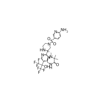 CC1(C)C(=O)NCCN1C[C@@]1(c2ncc(C(O)(C(F)(F)F)C(F)(F)F)cn2)CN(S(=O)(=O)c2ccc(N)nc2)CCN1